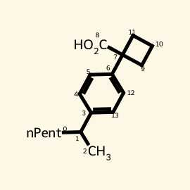 CCCCCC(C)c1ccc(C2(C(=O)O)CCC2)cc1